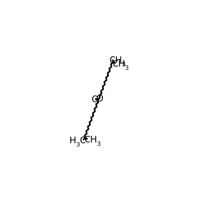 CC(C)CCCCCCCCCCCCCCCCC(=O)OCCCCCCCCCCCCCCCC(C)C